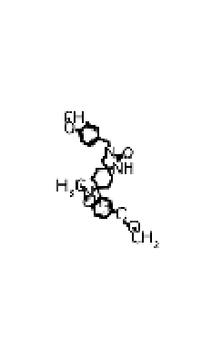 COCOc1cccc(C2(N(C)C)CCC3(CC2)CN(Cc2ccc(OC)cc2)C(=O)N3)c1